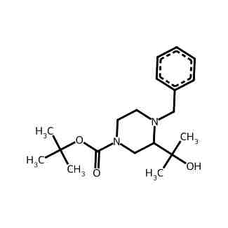 CC(C)(C)OC(=O)N1CCN(Cc2ccccc2)C(C(C)(C)O)C1